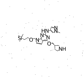 C[C@H]1CNC[C@@H]1COc1nc(Nc2cnn(C)c2)nc2c1ccn2COCC[Si](C)(C)C